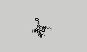 CC1=C(C(=O)OC/C=C/c2ccccc2)C(c2cccc([N+](=O)[O-])c2)C(C(=O)OC(C)C)=C(C)N1